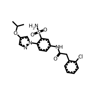 CC(C)Oc1cnn(-c2ccc(NC(=O)Cc3ccccc3Cl)cc2S(N)(=O)=O)c1